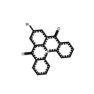 O=c1c2ccccc2n2c3ccccc3c(=O)c3cc(Br)cc1c32